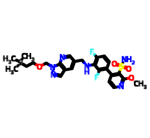 COc1nccc(-c2ccc(F)c(NCc3cnc4c(cnn4COCC[Si](C)(C)C)c3)c2F)c1S(N)(=O)=O